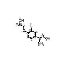 NC(=NO)c1ccc(OCC(=O)O)c(F)c1